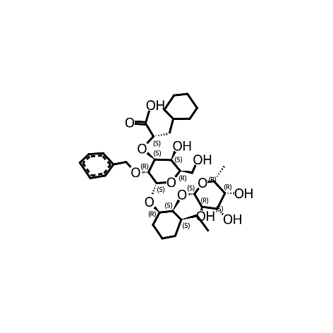 CC[C@H]1CCC[C@@H](O[C@H]2O[C@H](CO)[C@H](O)[C@H](O[C@@H](CC3CCCCC3)C(=O)O)[C@H]2OCc2ccccc2)[C@H]1O[C@@H]1O[C@H](C)[C@H](O)[C@H](O)[C@H]1O